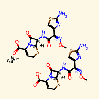 CO/N=C(\C(=O)N[C@@H]1C(=O)N2C(C(=O)[O-])=CCS[C@H]12)c1csc(N)n1.CO/N=C(\C(=O)N[C@@H]1C(=O)N2C(C(=O)[O-])=CCS[C@H]12)c1csc(N)n1.[Na+].[Na+]